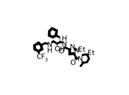 CCC1CCC(C)N(C(=O)c2cc(C(=O)N[C@@H](Cc3ccccc3)[C@H](O)CNCc3cccc(C(F)(F)F)c3)nn2CC)C1